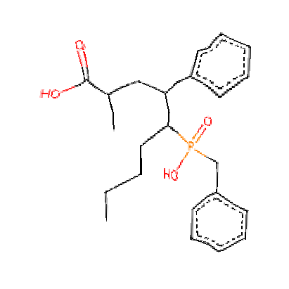 CCCCC(C(CC(C)C(=O)O)c1ccccc1)P(=O)(O)Cc1ccccc1